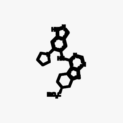 CCOC(=O)[C@H]1CCc2c(sc3ncnc(Nc4cc5cn[nH]c5cc4N4CCCC4)c23)C1